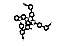 Cc1cc(-c2cccc(C#N)c2)ccc1-c1nc(-c2ccc(-c3cccc(C#N)c3)cc2)nc(-c2ccc(-c3cccc(C#N)c3)cc2-n2c3ccccc3c3c2ccc2c4ccccc4n(-c4ccccc4)c23)n1